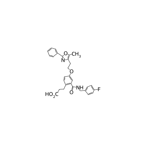 Cc1oc(-c2ccccc2)nc1CCOc1ccc(CCC(=O)O)c(C(=O)NCc2ccc(F)cc2)c1